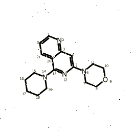 c1cnc2cc(N3CCOCC3)nc(N3CCCCC3)c2c1